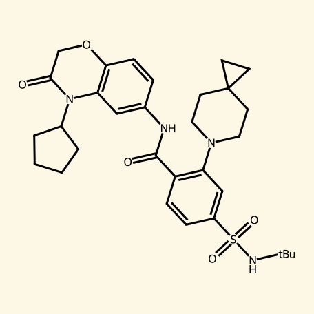 CC(C)(C)NS(=O)(=O)c1ccc(C(=O)Nc2ccc3c(c2)N(C2CCCC2)C(=O)CO3)c(N2CCC3(CC2)CC3)c1